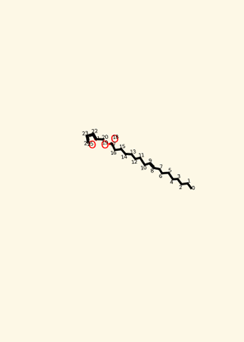 CCCCCCCCC=CCCCCCCCC(=O)OCc1ccco1